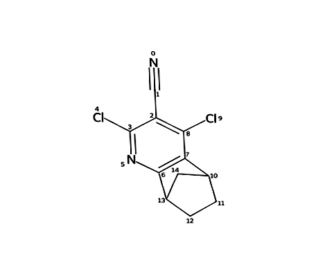 N#Cc1c(Cl)nc2c(c1Cl)C1CCC2C1